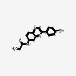 C=CC(=O)Nc1ccc2ncc(-c3ccc(C(C)(C)C)cc3)nc2c1